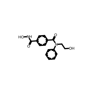 O=C(NO)c1ccc(C(=O)N(CCO)c2ccccc2)cc1